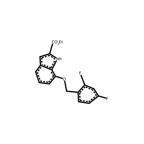 CCOC(=O)c1cc2cccc(OCc3ccc(F)cc3F)c2[nH]1